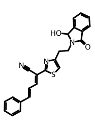 N#C/C(=C\C=C\c1ccccc1)c1nc(CCN2C(=O)c3ccccc3C2O)cs1